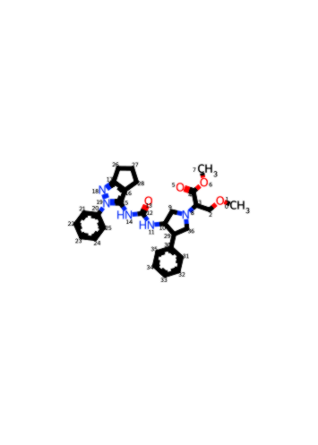 COCC(C(=O)OC)N1CC(NC(=O)Nc2c3c(nn2-c2ccccc2)CCC3)C(c2ccccc2)C1